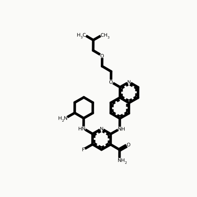 CC(C)COCCOc1nccc2cc(Nc3nc(NC4CCCCC4N)c(F)cc3C(N)=O)ccc12